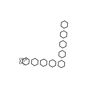 C1CCCCC1.C1CCCCC1.C1CCCCC1.C1CCCCC1.C1CCCCC1.C1CCCCC1.C1CCCCC1.C1CCCCC1.C1CCCCC1.CC(=O)O